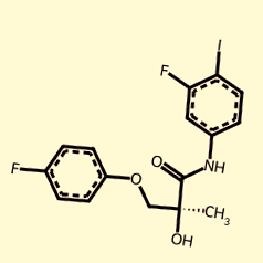 C[C@](O)(COc1ccc(F)cc1)C(=O)Nc1ccc(I)c(F)c1